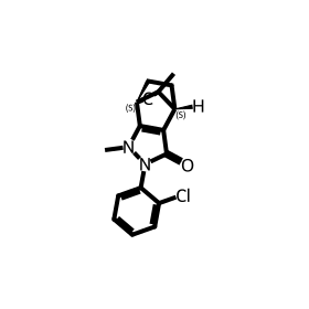 Cn1c2c(c(=O)n1-c1ccccc1Cl)[C@H]1CC[C@@]23CC13C